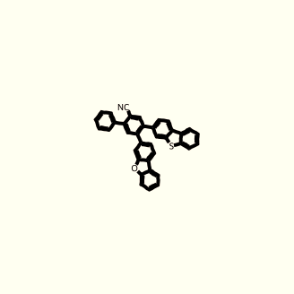 N#Cc1cc(-c2ccc3c(c2)sc2ccccc23)c(-c2ccc3c(c2)oc2ccccc23)cc1-c1ccccc1